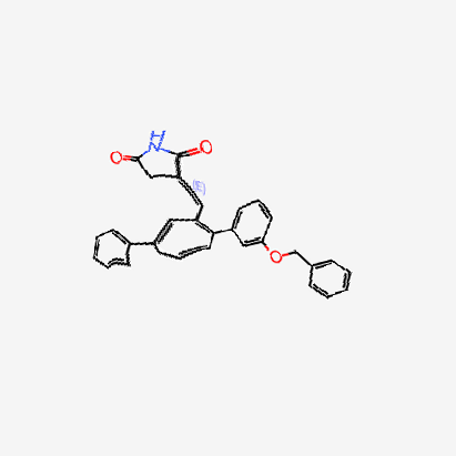 O=C1C/C(=C\c2cc(-c3ccccc3)ccc2-c2cccc(OCc3ccccc3)c2)C(=O)N1